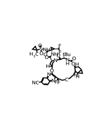 CC(C)(C)[C@@H]1NC(=O)O[C@@H]2CC3C[C@@H]3[C@H]2CCCCC(F)(F)c2nc3ccc(C#N)cc3nc2O[C@@H]2C[C@@H](C(=O)N[C@]3(C(=O)NS(=O)(=O)C4(C)CC4)C[C@H]3C(F)F)N(C2)C1=O